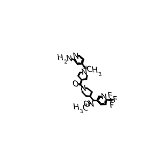 CON=C(c1ccc(C(F)(F)F)nc1)C1CCN(C(=O)C2CCN([C@H](C)c3ccnc(N)c3)CC2)CC1